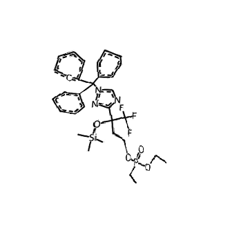 CCOP(=O)(CC)OCCC(O[Si](C)(C)C)(c1ncn(C(c2ccccc2)(c2ccccc2)c2ccccc2)n1)C(F)(F)F